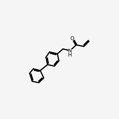 C=CC(=O)NCc1ccc(-c2ccccc2)cc1